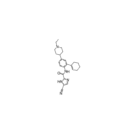 CCN1CCC(c2ccc(NC(=O)c3ncc(C#N)[nH]3)c(C3=CCCCC3)c2)CC1